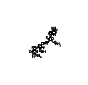 Nc1nc2c(ncn2[C@@H]2OC(OPCC[C@H]3[C@H](F)[C@H](n4ccc5c(N)ncnc54)O[C@@H]3COP)[C@@H](F)[C@H]2OO)c(=O)[nH]1